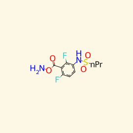 CCCS(=O)(=O)Nc1ccc(F)c(C(=O)ON)c1F